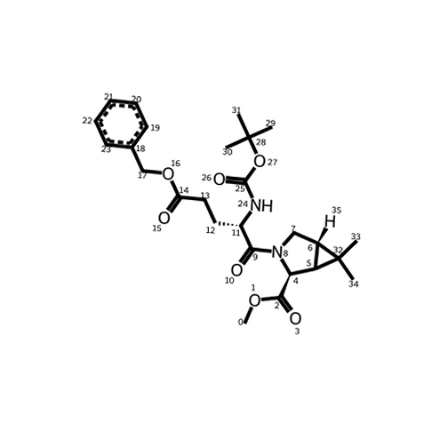 COC(=O)[C@@H]1C2[C@H](CN1C(=O)[C@H](CCC(=O)OCc1ccccc1)NC(=O)OC(C)(C)C)C2(C)C